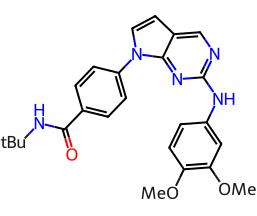 COc1ccc(Nc2ncc3ccn(-c4ccc(C(=O)NC(C)(C)C)cc4)c3n2)cc1OC